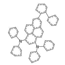 c1ccc(-c2ccccc2-c2cc3ccc4c(N(c5ccccc5)c5ccccc5)cc(N(c5ccccc5)c5ccccc5)c5ccc(c2)c3c45)cc1